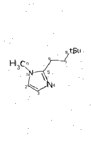 Cn1ccnc1CCC(C)(C)C